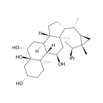 CC(C)[C@@H](C)[C@@]1(C)C[C@@H]1[C@@H](C)[C@H]1CC[C@H]2[C@@H]3C[C@@H](O)[C@@]4(O)C[C@@H](O)CC[C@]4(C)[C@H]3[C@H](O)C[C@]12C